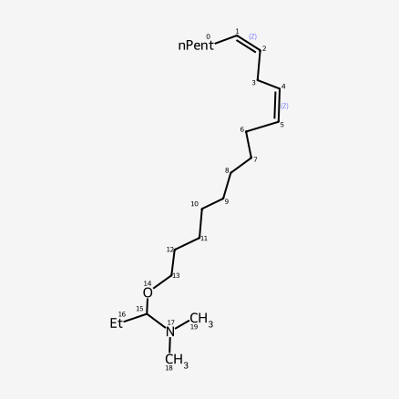 CCCCC/C=C\C/C=C\CCCCCCCCOC(CC)N(C)C